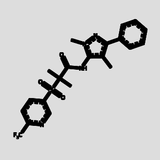 Cc1c(-c2ccccc2)nn(C)c1NC(=O)C(C)(C)S(=O)(=O)c1ccc(C(F)(F)F)nc1